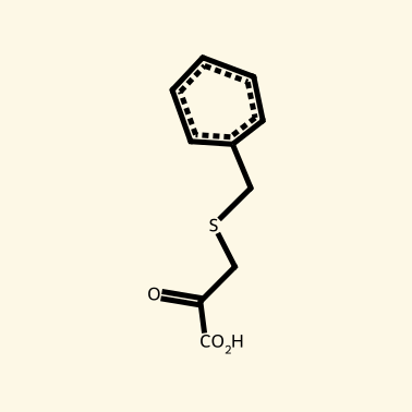 O=C(O)C(=O)CSCc1ccccc1